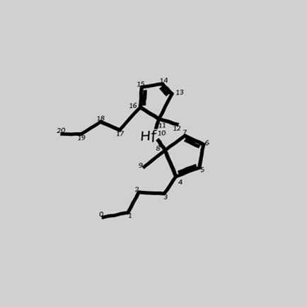 CCCCC1=CC=C[C]1(C)[Hf][C]1(C)C=CC=C1CCCC